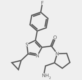 NCC1CCCN1C(=O)c1nc(C2CC2)sc1-c1ccc(F)cc1